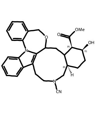 COC(=O)[C@@H]1C2CC3OCc4ccccc4-n4c3c(c3ccccc34)CCN(C#N)C[C@@H]2CC[C@@H]1O